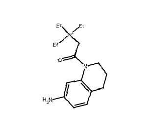 CC[N+](CC)(CC)CC(=O)N1CCCc2ccc(N)cc21